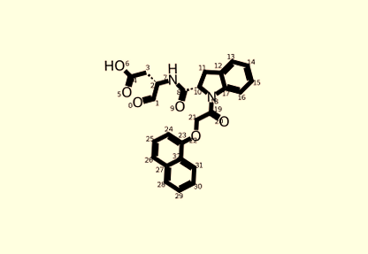 O=C[C@H](CC(=O)O)NC(=O)[C@@H]1Cc2ccccc2N1C(=O)COc1cccc2ccccc12